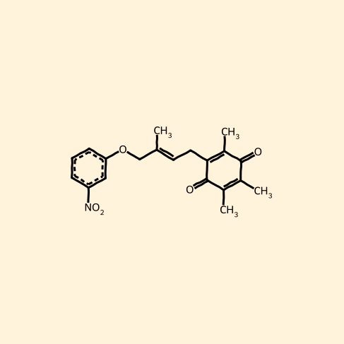 CC1=C(C)C(=O)C(C/C=C(\C)COc2cccc([N+](=O)[O-])c2)=C(C)C1=O